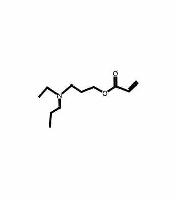 C=CC(=O)OCCCN(CC)CCC